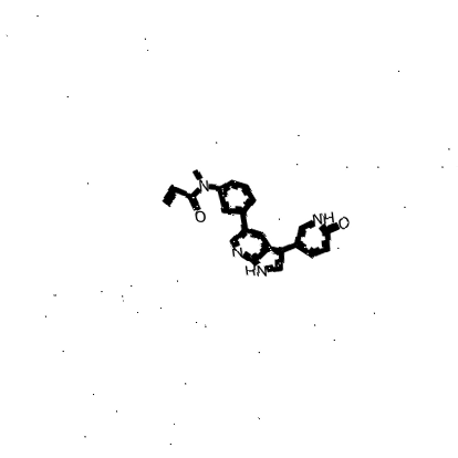 C=CC(=O)N(C)c1cccc(-c2cnc3[nH]cc(-c4ccc(=O)[nH]c4)c3c2)c1